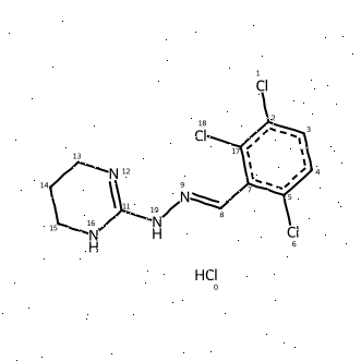 Cl.Clc1ccc(Cl)c(C=NNC2=NCCCN2)c1Cl